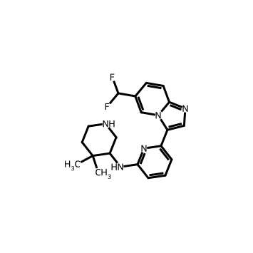 CC1(C)CCNCC1Nc1cccc(-c2cnc3ccc(C(F)F)cn23)n1